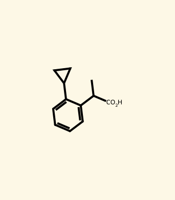 CC(C(=O)O)c1ccccc1C1CC1